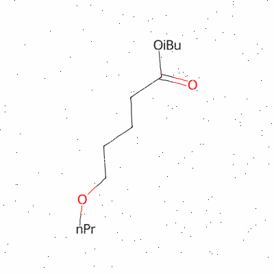 CCCOCCCCC(=O)OCC(C)C